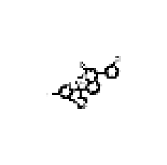 Cn1cncc1C(O)(c1ccc(Cl)cn1)c1cccc2c(-c3cccc(Cl)c3)cc(=O)n(C)c12